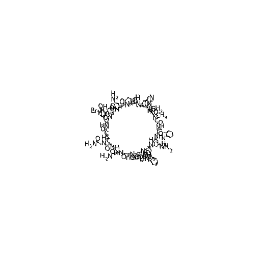 CCCC[C@H]1C(=O)N(C)[C@@H](CCCC)C(=O)N[C@@H](CCN)C(=O)N[C@H](C(=O)NCC(N)=O)CSCC(=O)N[C@@H](Cc2ccc(O)c(Br)c2)C(=O)N(C)[C@@H](C)C(=O)N[C@@H](CC(N)=O)C(=O)N2CCC[C@H]2C(=O)N[C@@H](Cc2cnc[nH]2)C(=O)N[C@@H](C)C(=O)N(C)CC(=O)N[C@@H](Cc2c[nH]c3ccccc23)C(=O)N[C@@H](CCN)C(=O)N[C@@H](Cc2c[nH]c3ccccc23)C(=O)N1C